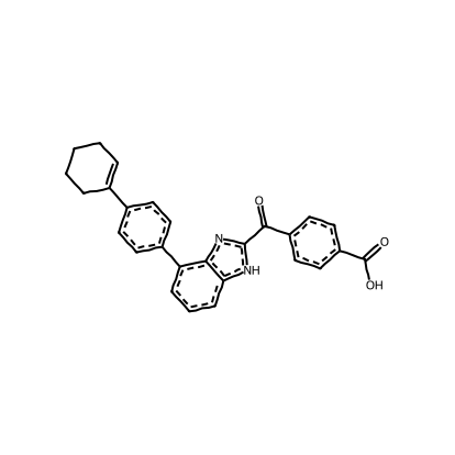 O=C(O)c1ccc(C(=O)c2nc3c(-c4ccc(C5=CCCCC5)cc4)cccc3[nH]2)cc1